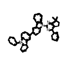 CC1(C)C=Cc2c(-c3ccccc3)nc(-n3c4ccccc4c4cc(-c5ccc6c(c5)c5ccccc5n6-c5ccccc5)ccc43)nc21